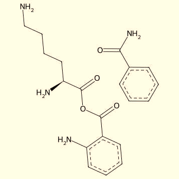 NC(=O)c1ccccc1.NCCCC[C@H](N)C(=O)OC(=O)c1ccccc1N